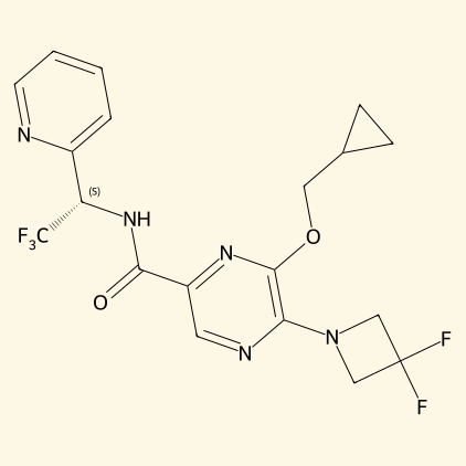 O=C(N[C@@H](c1ccccn1)C(F)(F)F)c1cnc(N2CC(F)(F)C2)c(OCC2CC2)n1